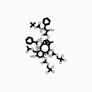 CC(=O)OC[C@@]1(O)C2[C@H](OC(=O)c3ccccc3)[C@]3(O)C[C@H](OC(=O)C(O)[C@@H](NC(=O)OC(C)(C)C)c4ccccc4)C(C)=C([C@@H](OC(=O)OCC(Cl)(Cl)Cl)C(=O)[C@]2(C)[C@@H](OC(=O)OCC(Cl)(Cl)Cl)C[C@H]1O)C3(C)C